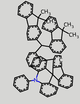 CC1(C)c2ccccc2-c2ccc(C(c3ccccc3-c3cccc4c3C3(c5ccccc5-4)c4ccccc4N(c4ccccc4)c4ccccc43)c3cccc4c3-c3ccccc3C4(C)C)cc21